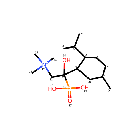 CC1CCC(C(C)C)C(C(O)(C[N+](C)(C)C)P(=O)(O)O)C1